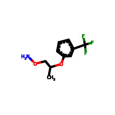 CC(CON)Oc1cccc(C(F)(F)F)c1